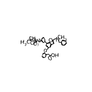 CN(Cc1ccccc1)Cc1cc2cc(COc3ccccc3CC(=O)O)cc(-c3cccc(CNC(=O)OC(C)(C)C)c3)c2o1